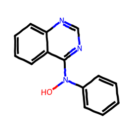 ON(c1ccccc1)c1ncnc2ccccc12